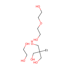 CCC(CO)(CO)CO.OCCO.OCCOCCO